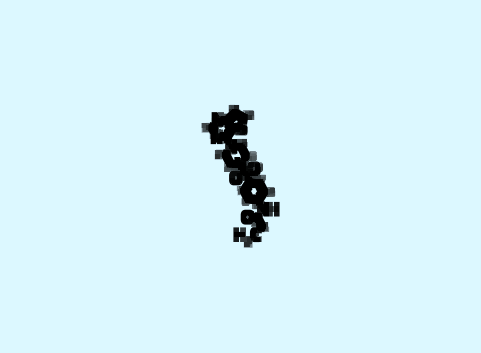 C=CC(=O)Nc1ccc(S(=O)(=O)N2CCN(c3ncnc4ccsc34)CC2)cc1